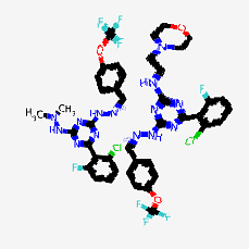 CN(C)Nc1nc(N/N=C\c2ccc(OC(F)(F)F)cc2)nc(-c2c(F)cccc2Cl)n1.Fc1cccc(Cl)c1-c1nc(NCCN2CCOCC2)nc(N/N=C\c2ccc(OC(F)(F)F)cc2)n1